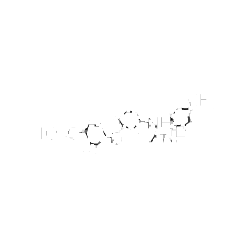 C=C(Nc1ccc(C(F)(F)F)cc1)Nc1cccc(Oc2ccc(C(=O)O)cc2)c1